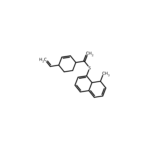 C=CC1C=CC(C(=C)SC2=CC=CC3=CC=CC(C)C32)CC1